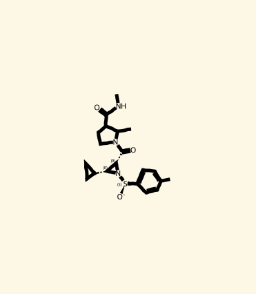 CNC(=O)C1CCN(C(=O)[C@H]2[C@@H](C3CC3)N2[S@+]([O-])c2ccc(C)cc2)C1C